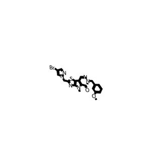 COc1cccc(CN(C)/N=C\c2c(C=O)n(C)c3nc(Cn4cc(Br)cn4)sc23)c1